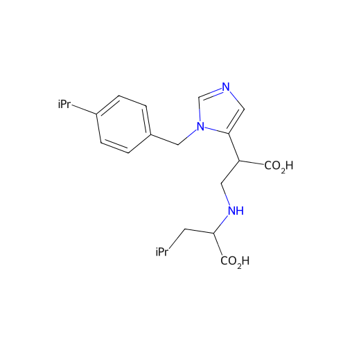 CC(C)CC(NCC(C(=O)O)c1cncn1Cc1ccc(C(C)C)cc1)C(=O)O